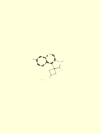 COC1CC2(C1)c1c(cnc3cc(F)ccc13)N(C)C2Br